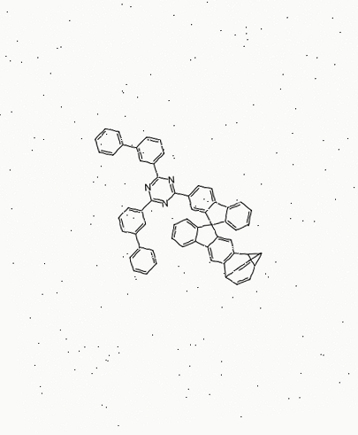 C1=CC2C3C=CC1c1cc4c(cc1C23)C1(c2ccccc2-c2ccc(-c3nc(-c5cccc(-c6ccccc6)c5)nc(-c5cccc(-c6ccccc6)c5)n3)cc21)c1ccccc1-4